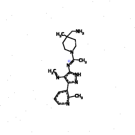 C=Nc1c(-c2cccnc2C)n[nH]c1/N=C(\C)N1CCC(C)(CN)CC1